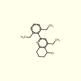 CCc1cccc(CC)c1-c1cc(CC)c2c(n1)CCCC2Cl